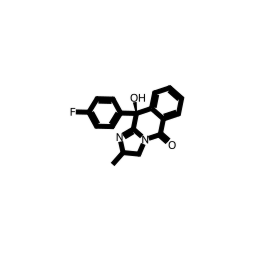 CC1CN2C(=O)c3ccccc3[C@@](O)(c3ccc(F)cc3)C2=N1